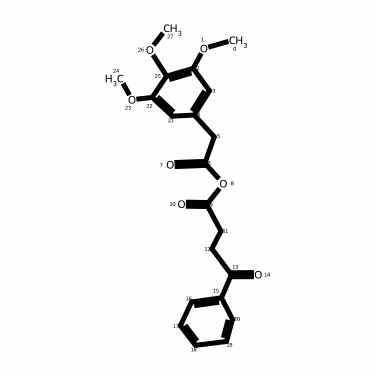 COc1cc(CC(=O)OC(=O)CCC(=O)c2ccccc2)cc(OC)c1OC